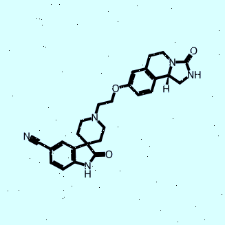 N#Cc1ccc2c(c1)C1(CCN(CCOc3ccc4c(c3)CCN3C(=O)NC[C@H]43)CC1)C(=O)N2